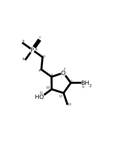 BC1OC(CCP(=C)(C)C)C(O)C1C